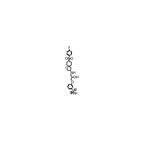 CNS(=O)(=O)c1cccc(OCC(O)CNC2COC3(CCN(S(=O)(=O)c4ccc(F)cc4)CC3)C2)c1